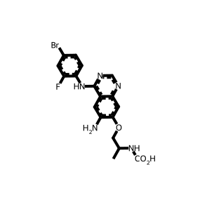 CC(COc1cc2ncnc(Nc3ccc(Br)cc3F)c2cc1N)NC(=O)O